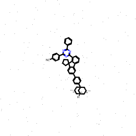 C[C@@H]1C[C@@H]2C[C@H](C)CC(c3ccc(-c4ccc5c(c4)-c4cccc(-c6nc(-c7ccccc7)nc(-c7ccc(C#N)cc7)n6)c4C54CCCC4)cc3)(C1)C2